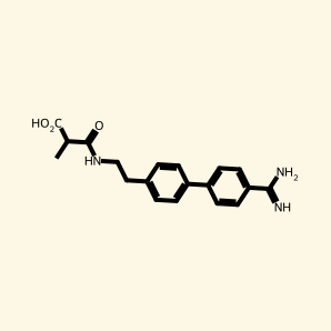 CC(C(=O)O)C(=O)NCCc1ccc(-c2ccc(C(=N)N)cc2)cc1